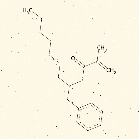 C=C(C)C(=O)CC(CCCCCCC)Cc1ccccc1